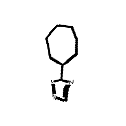 C1=N[C](C2CCCCCC2)N=N1